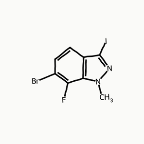 Cn1nc(I)c2ccc(Br)c(F)c21